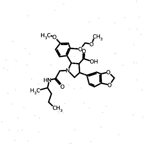 CCCC(C)NC(=O)CN1CC(c2ccc3c(c2)OCO3)C(C(=O)O)C1c1ccc(OC)cc1OCOC